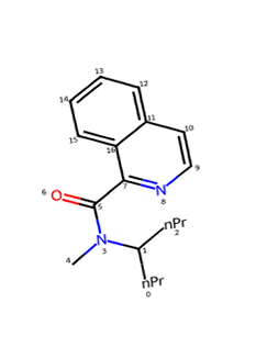 CCCC(CCC)N(C)C(=O)c1nccc2ccccc12